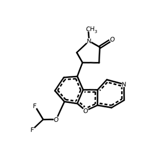 CN1CC(c2ccc(OC(F)F)c3oc4ccncc4c23)CC1=O